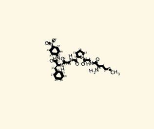 CSCC[C@H](N)C(=O)NCC(=O)N1CCC[C@H]1C(=O)NCC(=O)N[C@@H](Cc1ccccc1)C(=O)Nc1ccc([N+](=O)[O-])cc1